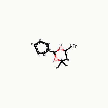 CC(C)C1CC(C)(C)OC(c2ccccc2)O1